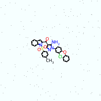 Cc1ccc(S(=O)(=O)n2c(C(=O)c3cnn(-c4ccc(Oc5ccccc5)c(Cl)c4)c3N)cc3ccccc32)cc1